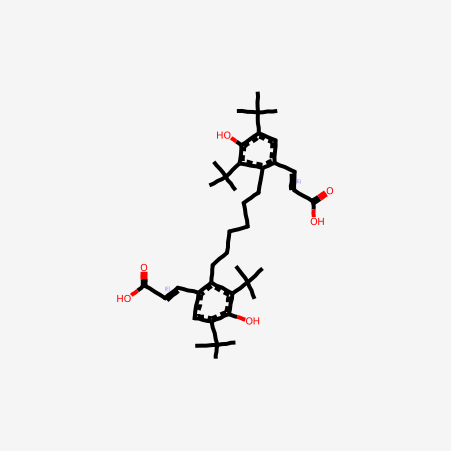 CC(C)(C)c1cc(/C=C/C(=O)O)c(CCCCCCc2c(/C=C/C(=O)O)cc(C(C)(C)C)c(O)c2C(C)(C)C)c(C(C)(C)C)c1O